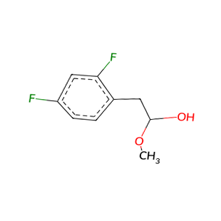 COC(O)Cc1ccc(F)cc1F